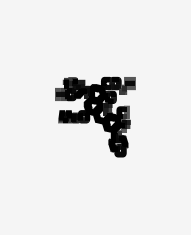 COc1cc2c(cc1Cc1cc(N3CCOCC3)c(F)c(Cl)c1F)c(=O)c(C(=O)O)cn2[C@H](CO)C(C)(C)C